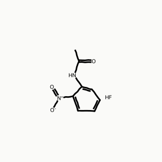 CC(=O)Nc1ccccc1[N+](=O)[O-].F